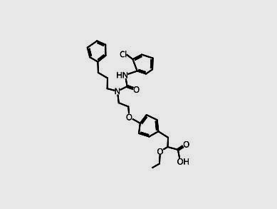 CCOC(Cc1ccc(OCCN(CCCc2ccccc2)C(=O)Nc2ccccc2Cl)cc1)C(=O)O